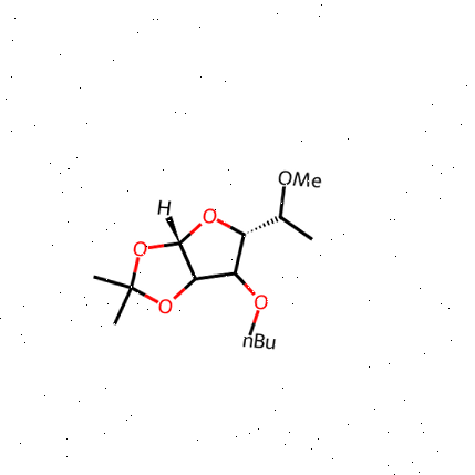 CCCCOC1C2OC(C)(C)O[C@@H]2O[C@@H]1C(C)OC